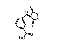 O=C(O)c1cccc(NN2C(=O)CSC2=S)c1